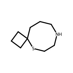 C1CNCCSC2(C1)CCC2